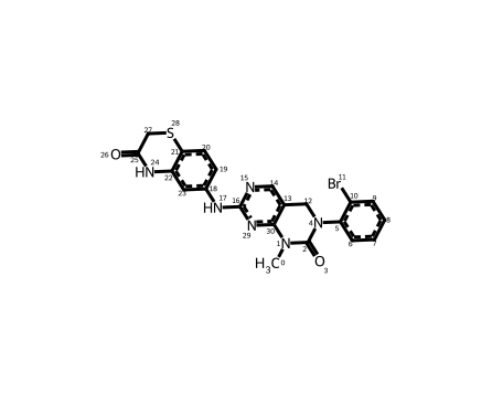 CN1C(=O)N(c2ccccc2Br)Cc2cnc(Nc3ccc4c(c3)NC(=O)CS4)nc21